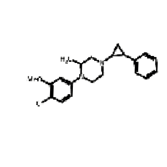 COc1cc(N2CCN(C3CC3c3ccccc3)CC2C)ccc1Cl